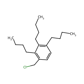 CCCCc1ccc(CCl)c(CCCC)c1CCCC